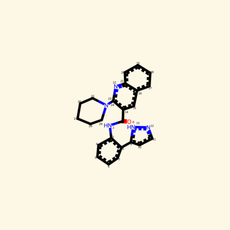 O=C(Nc1ccccc1-c1ccn[nH]1)c1cc2ccccc2nc1N1CCCCC1